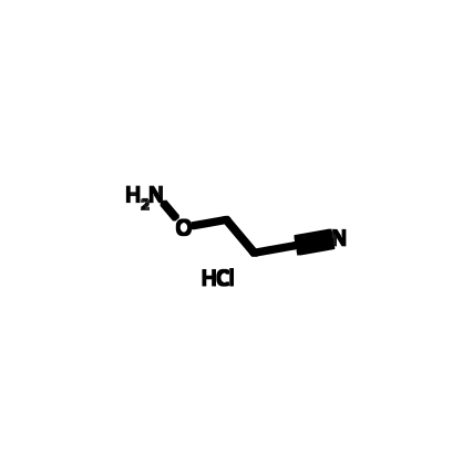 Cl.N#CCCON